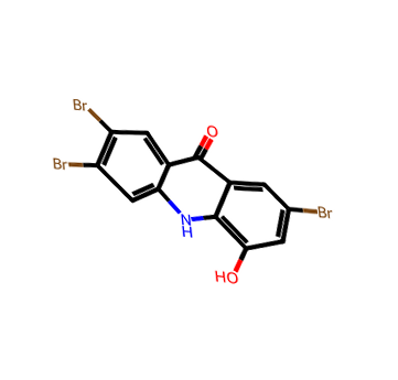 O=c1c2cc(Br)c(Br)cc2[nH]c2c(O)cc(Br)cc12